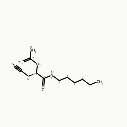 CCCCCCNC(=O)[C@H](CC#N)OC(N)=O